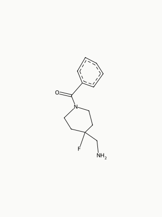 NCC1(F)CCN(C(=O)c2ccccc2)CC1